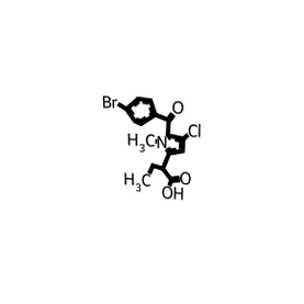 CCC(C(=O)O)c1cc(Cl)c(C(=O)c2ccc(Br)cc2)n1C